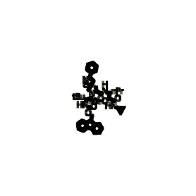 CCC[C@H](NC(=O)C1C[C@]2(CC(c3ccccc3)=NO2)CN1C(=O)[C@@H](NC(=O)OCC1c2ccccc2-c2ccccc21)C(C)(C)C)C(OC)C(=O)NC1CC1